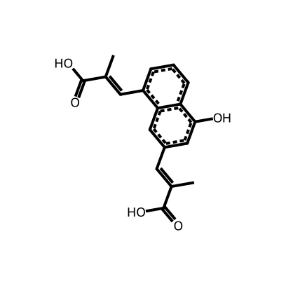 C/C(=C\c1cc(O)c2cccc(/C=C(\C)C(=O)O)c2c1)C(=O)O